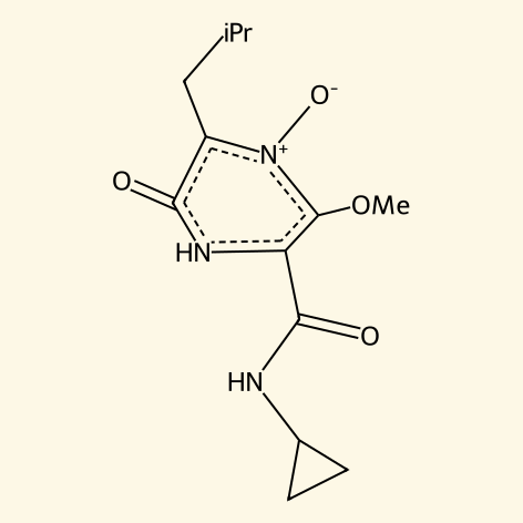 COc1c(C(=O)NC2CC2)[nH]c(=O)c(CC(C)C)[n+]1[O-]